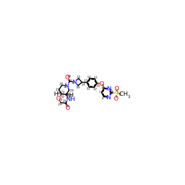 CS(=O)(=O)c1nccc(Oc2ccc(C3CN(C(=O)N4CC[C@@H]5OCC(=O)N[C@@H]5C4)C3)cc2)n1